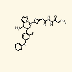 C=CC(=O)NNC(=O)C=C1CC(N2CN(c3ccc(Oc4ccccc4)cc3F)C(N)c3ccnn32)C1